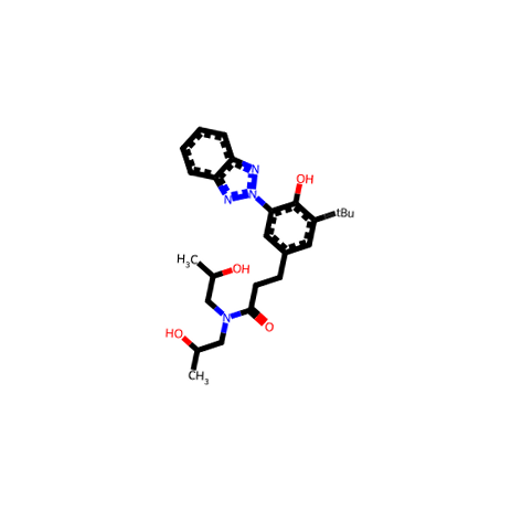 CC(O)CN(CC(C)O)C(=O)CCc1cc(-n2nc3ccccc3n2)c(O)c(C(C)(C)C)c1